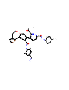 COC(=O)c1nc(C(=O)NC2CCC(C#N)CC2)ccc1-c1cc2c(cc1C(=O)Nc1c(C)cc(CN)cc1C)-c1sccc1CCO2